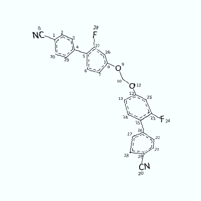 N#Cc1ccc(-c2ccc(OCOc3ccc(-c4ccc(C#N)cc4)c(F)c3)cc2F)cc1